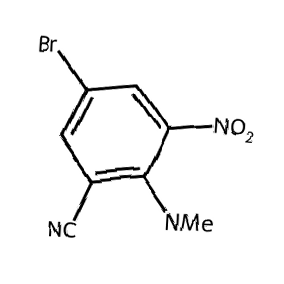 CNc1c(C#N)cc(Br)cc1[N+](=O)[O-]